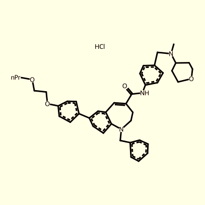 CCCOCCOc1ccc(-c2ccc3c(c2)C=C(C(=O)Nc2ccc(CN(C)C4CCOCC4)cc2)CCN3Cc2ccccc2)cc1.Cl